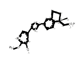 CC(C)Oc1ncc(-c2cnc(-c3ccc4c(c3)CC[C@]4(C)CC(=O)O)s2)cc1Cl